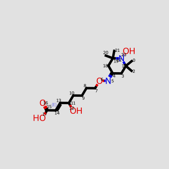 CC1(C)CC(=NOCCCCC(O)/C=C/C(=O)O)CC(C)(C)N1O